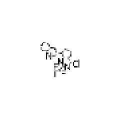 FC(F)(F)c1nc(Cl)c2cccc(-c3cnc4ccccc4c3)c2n1